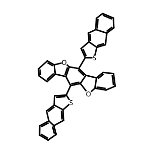 c1ccc2cc3sc(-c4c5oc6ccccc6c5c(-c5cc6cc7ccccc7cc6s5)c5oc6ccccc6c45)cc3cc2c1